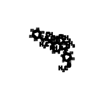 COc1ccc(C(=O)N2CCNC(C(C)(C)N(C)Cc3ccccc3)=C(C=O)C2C(C)C)cc1